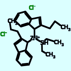 CCCC1=Cc2ccccc2[CH]1[Zr+2]([CH]1C(CCC)=Cc2ccccc21)[SiH](CC)CC.[Cl-].[Cl-]